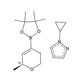 C[C@H]1C=C(B2OC(C)(C)C(C)(C)O2)CCO1.c1cnn(C2CC2)c1